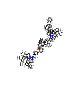 CC1(C)c2ccccc2-c2ccc(N(c3ccc4c(c3)C(C)(C)c3ccccc3-4)c3ccc4cc(C5C=CC=C6c7c(ccc8ccc(-c9cccc%10c9C(C)(C)c9cc(N(c%11ccc%12c(c%11)C(C)(C)c%11ccccc%11-%12)c%11cccc%12c(-c%13cccc%14c%15c(oc%13%14)C=C%13C=CC=CC%13C%15)cccc%11%12)ccc9-%10)cc78)OC65)ccc4c3)cc21